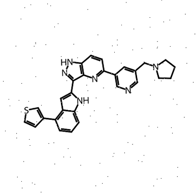 c1cc(-c2ccsc2)c2cc(-c3n[nH]c4ccc(-c5cncc(CN6CCCC6)c5)nc34)[nH]c2c1